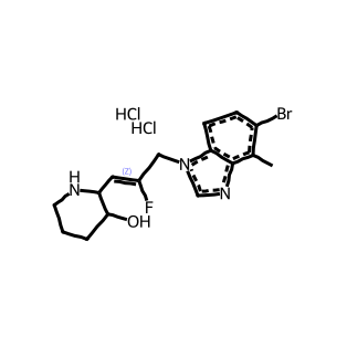 Cc1c(Br)ccc2c1ncn2C/C(F)=C/C1NCCCC1O.Cl.Cl